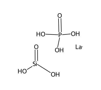 O=P(O)(O)O.O=[Si](O)O.[La]